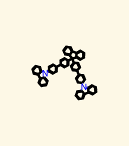 C1=CC(n2c3ccccc3c3ccccc32)CC=C1c1ccc(C2(c3ccc(-c4ccc(-n5c6ccccc6c6ccccc65)cc4)cc3)c3ccccc3-c3ccccc32)cc1